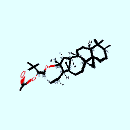 CC(=O)O[C@@H]([C@H]1C[C@@H](C)[C@H]2[C@H](O1)[C@H](C)[C@@]1(C)[C@@H]3CC[C@@H]4C(C)(C)[C@@H](C)CCC45C[C@@]35CC[C@]21C)C(C)(C)C